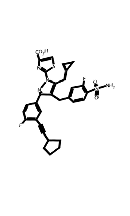 NS(=O)(=O)c1ccc(Cc2c(-c3ccc(F)c(C#CC4CCCC4)c3)nn(-c3nc(C(=O)O)cs3)c2CC2CC2)cc1F